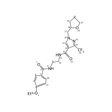 CCOc1ccc(C(=O)NCCNC(=O)c2cn(CC3CCCO3)nc2C(F)(F)F)cc1